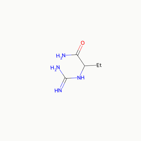 CCC(NC(=N)N)C(N)=O